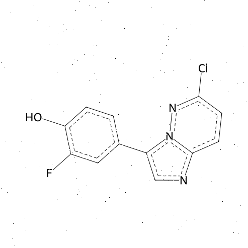 Oc1ccc(-c2cnc3ccc(Cl)nn23)cc1F